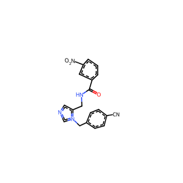 N#Cc1ccc(Cn2cncc2CNC(=O)c2cccc([N+](=O)[O-])c2)cc1